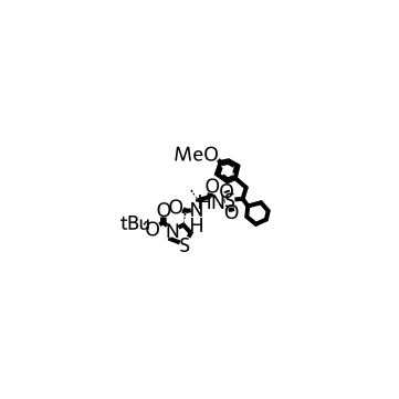 COc1ccc(CC(C2CCCCC2)S(=O)(=O)NC(=O)[C@@H](C)NC(=O)[C@@H]2CSCN2C(=O)OC(C)(C)C)cc1